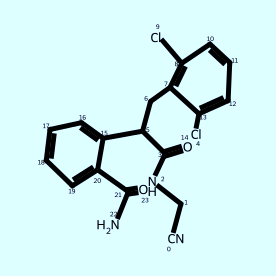 N#CCNC(=O)C(Cc1c(Cl)cccc1Cl)c1ccccc1C(N)=O